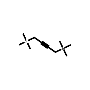 [CH3][Sn]([CH3])([CH3])[CH2]C#C[CH2][Sn]([CH3])([CH3])[CH3]